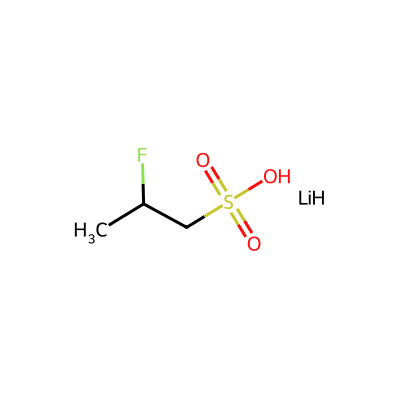 CC(F)CS(=O)(=O)O.[LiH]